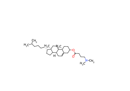 CC(C)CCCC[C@H]1CCC2[C@@H]3CC=C4CC(OC(=O)CCCN(C)C)CC[C@]4(C)C3CC[C@@]21C